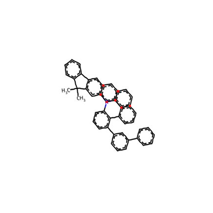 CC1(C)c2ccccc2-c2ccc(N(c3ccccc3)c3cccc(-c4cccc(-c5ccccc5)c4)c3-c3ccccc3-c3ccccc3)cc21